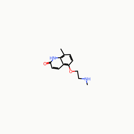 CNCCOc1ccc(C)c2[nH]c(=O)ccc12